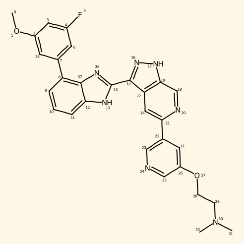 COc1cc(F)cc(-c2cccc3[nH]c(-c4n[nH]c5cnc(-c6cncc(OCCN(C)C)c6)cc45)nc23)c1